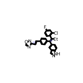 CC/C(=C(/c1ccc(/C=C/c2ncon2)cc1)c1ccc2[nH]ncc2c1)c1ccc(F)cc1Cl